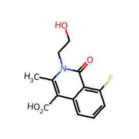 Cc1c(C(=O)O)c2cccc(F)c2c(=O)n1CCO